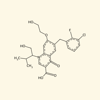 CC(C)C(CO)n1cc(C(=O)O)c(=O)c2cc(Cc3cccc(Cl)c3F)c(OCCO)cc21